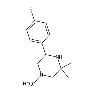 CC1(C)CN(C(=O)O)CC(c2ccc(F)cc2)N1